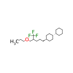 CCCOCC(CCC[C@H]1CC[C@H](C2CCCCC2)CC1)C(F)(F)F